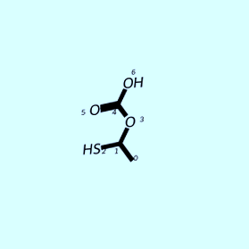 CC(S)OC(=O)O